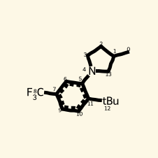 CC1CCN(c2cc(C(F)(F)F)ccc2C(C)(C)C)C1